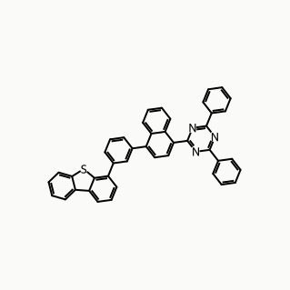 c1ccc(-c2nc(-c3ccccc3)nc(-c3ccc(-c4cccc(-c5cccc6c5sc5ccccc56)c4)c4ccccc34)n2)cc1